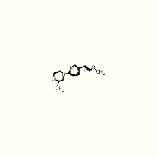 CO/C=C/c1ccc(N2CCOC(C)C2)nc1